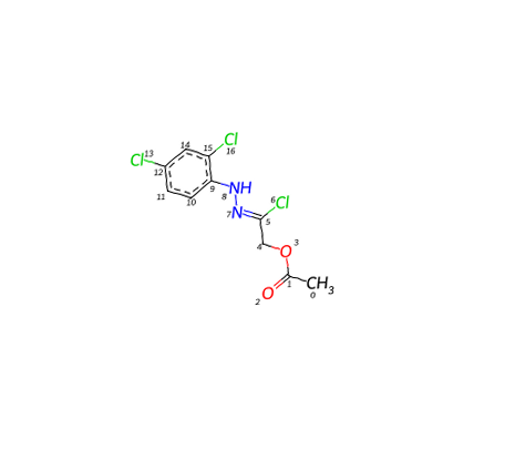 CC(=O)OCC(Cl)=NNc1ccc(Cl)cc1Cl